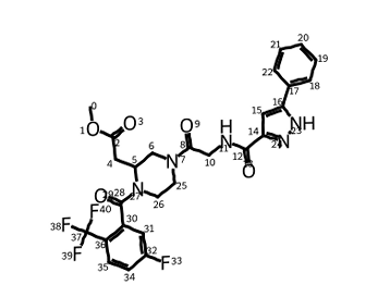 COC(=O)CC1CN(C(=O)CNC(=O)c2cc(-c3ccccc3)[nH]n2)CCN1C(=O)c1cc(F)ccc1C(F)(F)F